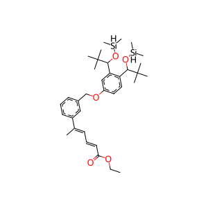 CCOC(=O)C=CC=C(C)c1cccc(COc2ccc(C(O[SiH](C)C)C(C)(C)C)c(C(O[SiH](C)C)C(C)(C)C)c2)c1